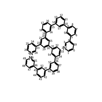 c1cncc(-c2cccc(-c3cccc(-c4cccc(-c5cc(-c6cccnc6)cc(-c6cccc(-c7cccc(-c8cccc(-c9cccnc9)c8)c7)c6)c5)c4)c3)c2)c1